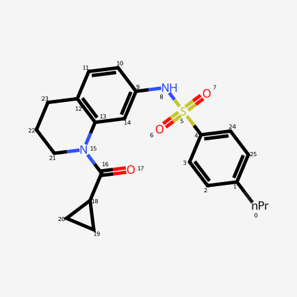 CCCc1ccc(S(=O)(=O)Nc2ccc3c(c2)N(C(=O)C2CC2)CCC3)cc1